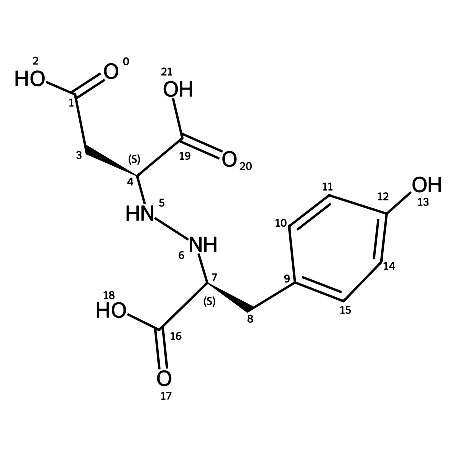 O=C(O)C[C@H](NN[C@@H](Cc1ccc(O)cc1)C(=O)O)C(=O)O